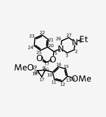 CCN1CCN(C(OC(=O)[C@]2(c3ccc(OC)cc3)C[C@@H]2OC)c2ccccc2)CC1